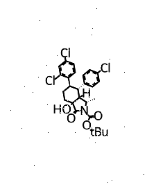 C[C@H]1[C@H]2[C@@H](c3ccc(Cl)cc3)[C@H](c3ccc(Cl)cc3Cl)CC[C@@]2(O)C(=O)N1C(=O)OC(C)(C)C